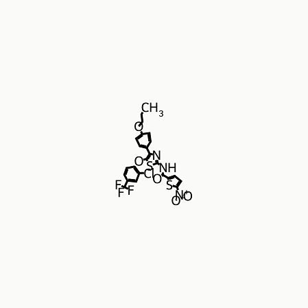 CCCOc1ccc(-c2nc(NC(=O)c3ccc([N+](=O)[O-])s3)sc2Oc2ccc(C(F)(F)F)cc2Cl)cc1